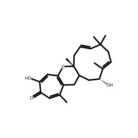 C/C1=C\CC(C)(C)/C=C/C[C@@]2(C)Oc3cc(O)c(=O)cc(C)c3CC2C[C@H]1O